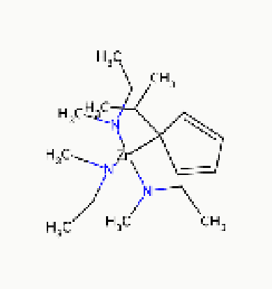 CC[N](C)[Zr]([N](C)CC)([N](C)CC)[C]1(C(C)C)C=CC=C1